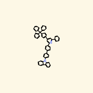 c1ccc(-c2cc(-c3ccc(C(c4ccccc4)(c4ccccc4)c4ccccc4)cc3)cc(-c3ccc(-c4ccc(-n5c6ccccc6c6ccccc65)cc4)cc3)n2)cc1